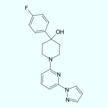 OC1(c2ccc(F)cc2)CCN(c2cccc(-n3cccn3)n2)CC1